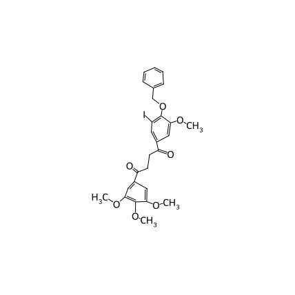 COc1cc(C(=O)CCC(=O)c2cc(OC)c(OC)c(OC)c2)cc(I)c1OCc1ccccc1